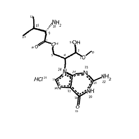 COC(O)C(COC(=O)[C@@H](N)C(C)C)n1cnc2c(=O)[nH]c(N)nc21.Cl